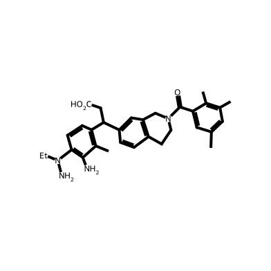 CCN(N)c1ccc(C(CC(=O)O)c2ccc3c(c2)CN(C(=O)c2cc(C)cc(C)c2C)CC3)c(C)c1N